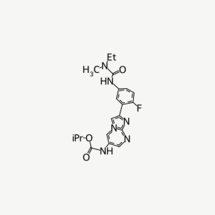 CCN(C)C(=O)Nc1ccc(F)c(-c2cn3cc(NC(=O)OC(C)C)cnc3n2)c1